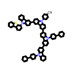 N#Cc1ccc(-n2c3ccc(-c4ccc5c(c4)c4ccccc4n5-c4cccc5c4sc4ccccc45)cc3c3cc(-c4ccc5c6cc(-c7ccc8c(c7)c7ccccc7n8-c7ccc(-c8ccccc8)cc7)ccc6n(-c6ccc(-c7ccccc7)cc6)c5c4)ccc32)cc1